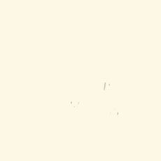 CP1(=O)Cc2ccccc2O1